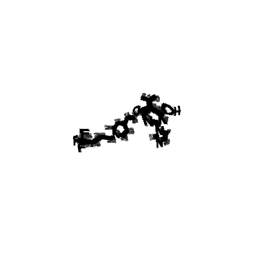 CC(C)c1c(O)nc(-n2ccnc2)nc1OCCC1CCN(CCCC(F)(F)F)CC1